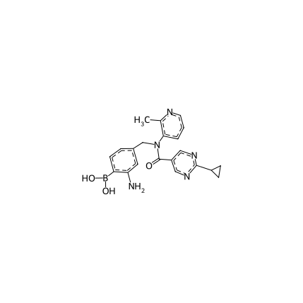 Cc1ncccc1N(Cc1ccc(B(O)O)c(N)c1)C(=O)c1cnc(C2CC2)nc1